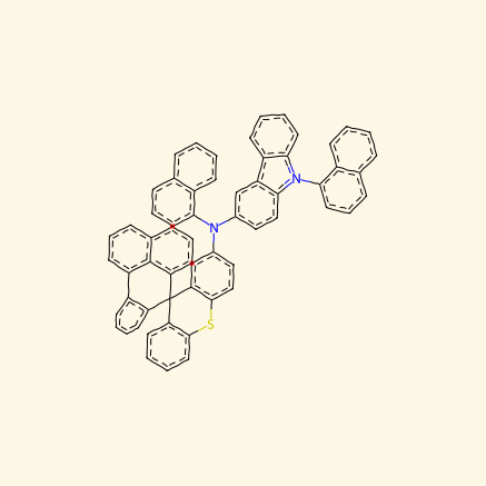 c1ccc2c(c1)Sc1ccc(N(c3ccc4c(c3)c3ccccc3n4-c3cccc4ccccc34)c3cccc4ccccc34)cc1C21c2ccccc2-c2cccc3cccc1c23